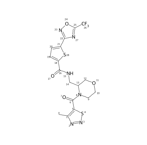 Cc1nnsc1C(=O)N1CCOCC1CNC(=O)c1ccc(-c2noc(C(F)(F)F)n2)s1